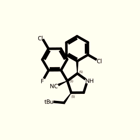 CC(C)(C)C[C@@H]1CN[C@H](c2ccccc2Cl)[C@@]1(C#N)c1ccc(Cl)cc1F